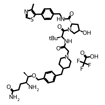 Cc1ncsc1-c1ccc(CNC(=O)[C@@H]2C[C@@H](O)CN2C(=O)[C@@H](NC(=O)CN2CCC(Cc3ccc(CO[C@H](C)[C@@H](N)CCC(N)=O)cc3)CC2)C(C)(C)C)cc1.O=C(O)C(F)(F)F